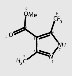 COC(=O)c1c(C)n[nH]c1C(F)(F)F